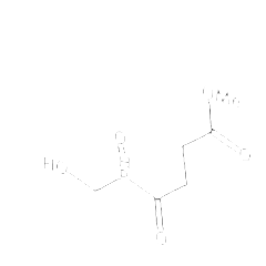 COC(=O)CCC(=O)[PH](=O)CO